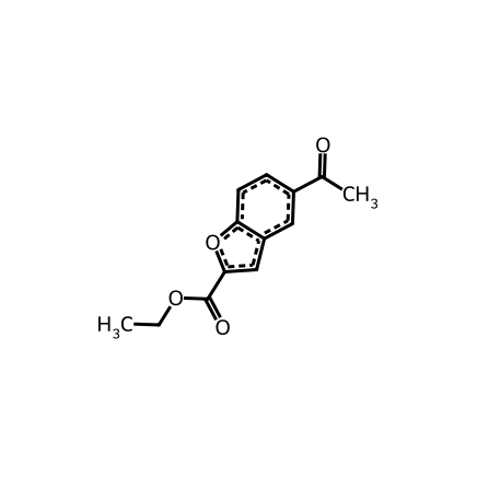 CCOC(=O)c1cc2cc(C(C)=O)ccc2o1